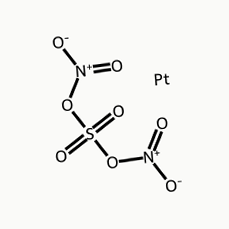 O=[N+]([O-])OS(=O)(=O)O[N+](=O)[O-].[Pt]